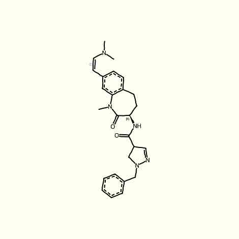 CN(C)/C=C\c1ccc2c(c1)N(C)C(=O)[C@H](NC(=O)C1C=NN(Cc3ccccc3)C1)CC2